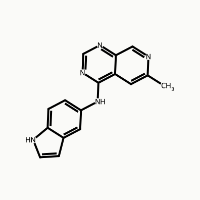 Cc1cc2c(Nc3ccc4[nH]ccc4c3)ncnc2cn1